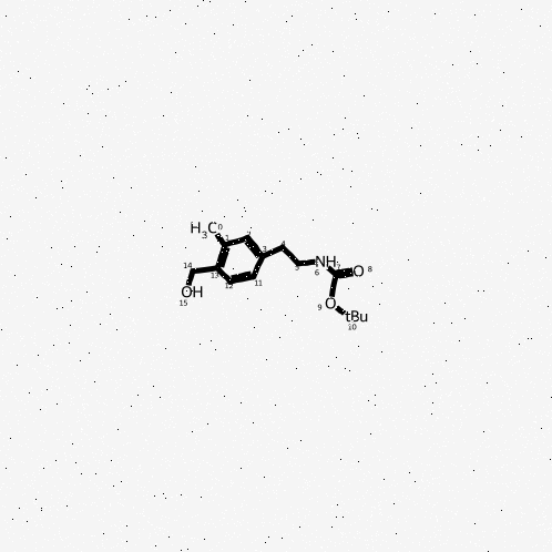 Cc1cc(CCNC(=O)OC(C)(C)C)ccc1CO